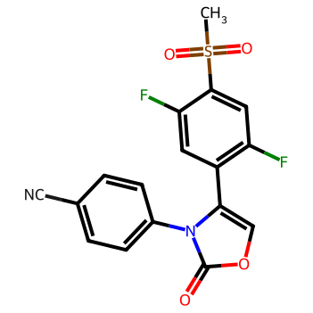 CS(=O)(=O)c1cc(F)c(-c2coc(=O)n2-c2ccc(C#N)cc2)cc1F